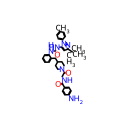 Cc1ccc(-n2nc(C(C)(C)C)cc2NC(=O)Nc2ccccc2CC2CCN(C(=O)CNC(=O)c3ccc(N)cc3)CC2)cc1